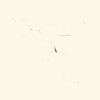 C=CC(=O)N1Cc2sc(C)cc2[C@@H](C(=C)/C=C\C=C/C)C1